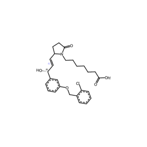 O=C(O)CCCCCCN1C(=O)CCC1/C=C/[C@@H](O)c1cccc(OCc2ccccc2Cl)c1